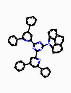 c1ccc(-c2cc(-c3ccccc3)nc(-c3nc(-c4cc(-c5ccccc5)cc(-c5ccccc5)n4)nc(-n4c5cccc6ccc7cccc4c7c65)n3)c2)cc1